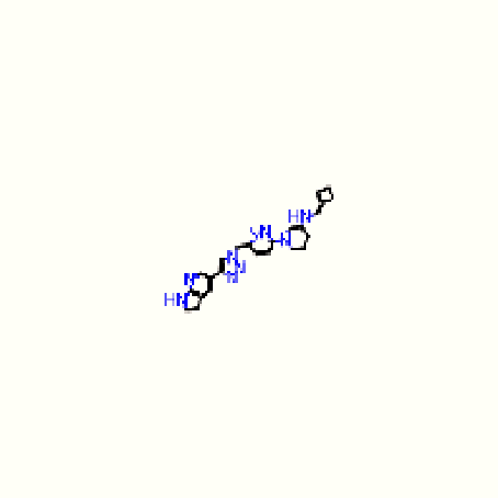 c1nc2c(cc1-c1cn(Cc3ccc(N4CCC[C@@H](NCC5CCC5)C4)nn3)nn1)CCN2